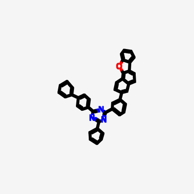 c1ccc(-c2ccc(-c3nc(-c4ccccc4)nc(-c4cccc(-c5ccc6c(ccc7c8ccccc8oc67)c5)c4)n3)cc2)cc1